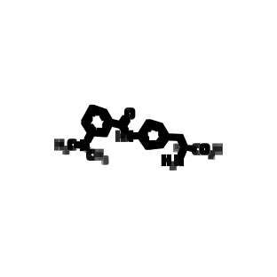 CN(C)c1cccc(C(=O)Nc2ccc(C[C@H](N)C(=O)O)cc2)c1